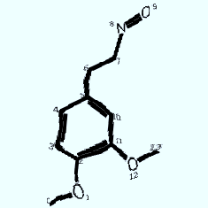 COc1ccc(CCN=O)cc1OC